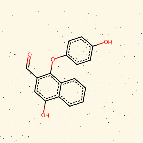 O=Cc1cc(O)c2ccccc2c1Oc1ccc(O)cc1